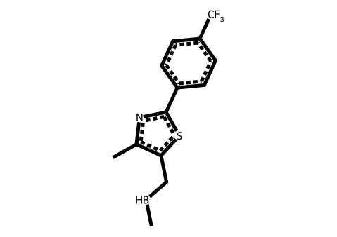 CBCc1sc(-c2ccc(C(F)(F)F)cc2)nc1C